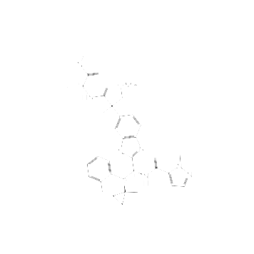 CCNC(=O)[C@H](NC(=O)C(C)(COC)c1ccc2nc([C@@H](NC(=O)c3ccnn3C)[C@H](c3ccccc3Cl)C3(C)CC3)[nH]c2c1)C(C)C